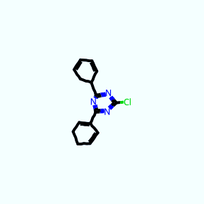 Clc1nc(C2=CCCC=C2)nc(C2C=CC=CC2)n1